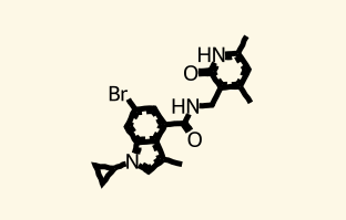 Cc1cc(C)c(CNC(=O)c2cc(Br)cc3c2c(C)cn3C2CC2)c(=O)[nH]1